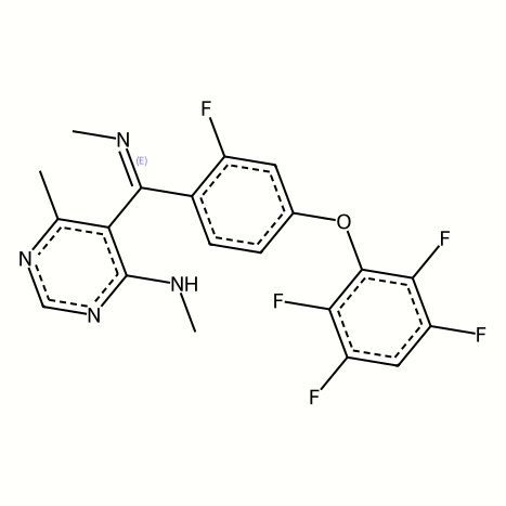 C/N=C(/c1ccc(Oc2c(F)c(F)cc(F)c2F)cc1F)c1c(C)ncnc1NC